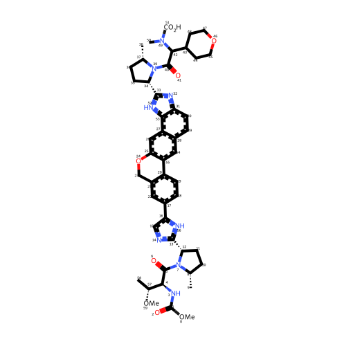 COC(=O)N[C@H](C(=O)N1[C@@H](C)CC[C@H]1c1ncc(-c2ccc3c(c2)COc2cc4c(ccc5nc([C@@H]6CC[C@H](C)N6C(=O)C(C6CCOCC6)N(C)C(=O)O)[nH]c54)cc2-3)[nH]1)[C@@H](C)OC